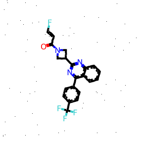 O=C(C=CF)N1CC(c2nc(-c3ccc(C(F)(F)F)cc3)c3ccccc3n2)C1